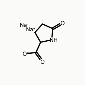 O=C1CCC(C(=O)[O-])N1.[Na+].[Na]